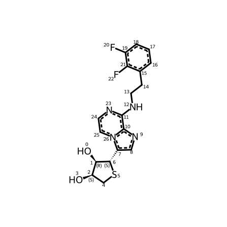 O[C@@H]1[C@H](O)CS[C@H]1c1cnc2c(NCCc3cccc(F)c3F)nccn12